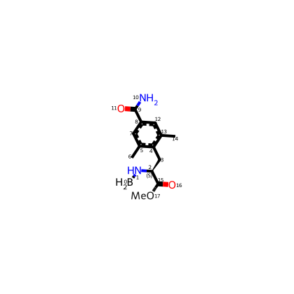 BN[C@@H](Cc1c(C)cc(C(N)=O)cc1C)C(=O)OC